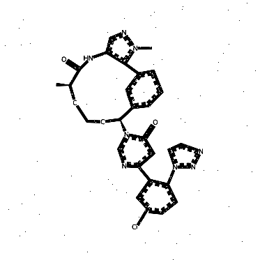 C[C@@H]1CCC[C@H](n2cnc(-c3cc(Cl)ccc3-n3ccnn3)cc2=O)c2cccc(c2)-c2c(cnn2C)NC1=O